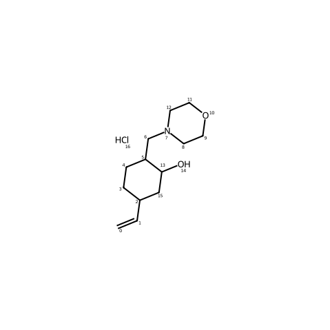 C=CC1CCC(CN2CCOCC2)C(O)C1.Cl